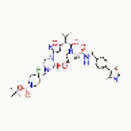 Cc1ncsc1-c1ccc(C(C)NC(=O)[C@@H]2C[C@@H](O)CN2C(=O)C(c2cc(N3CCN(CC4(F)CCN(C(=O)OC(C)(C)C)CC4)CC3)no2)C(C)C)cc1